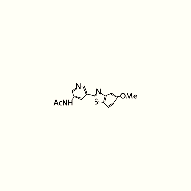 COc1ccc2sc(-c3cncc(NC(C)=O)c3)nc2c1